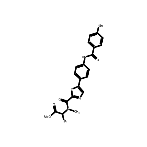 COC(=O)C(C(C)C)N(C)C(=O)c1ncc(-c2ccc(NC(=O)c3ccc(C(C)(C)C)cc3)cc2)s1